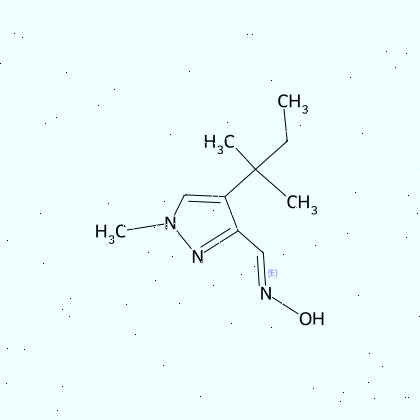 CCC(C)(C)c1cn(C)nc1/C=N/O